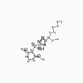 CCCCCCC(CC)c1nnc(NC(=S)c2c(OC)cccc2OC)s1